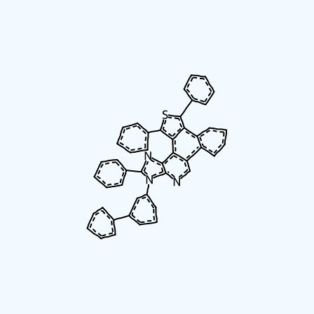 c1ccc(-c2cccc(-n3c(-c4ccccc4)nc4c5c(cnc43)c3ccccc3c3c(-c4ccccc4)sc(-c4ccccc4)c35)c2)cc1